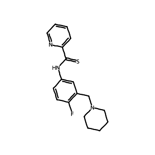 Fc1ccc(NC(=S)c2ccccn2)cc1CN1CCCCC1